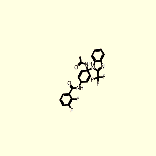 CC(=O)NC1(n2c(C(F)(F)F)nc3ccccc32)C=CC(NC(=O)c2cccc(F)c2F)C=C1